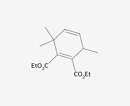 CCOC(=O)C1=C(C(=O)OCC)C(C)(C)C=CC1C